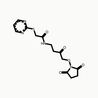 O=C(CCNC(=O)CSc1ncccn1)CON1C(=O)CCC1=O